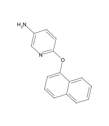 Nc1ccc(Oc2cccc3ccccc23)nc1